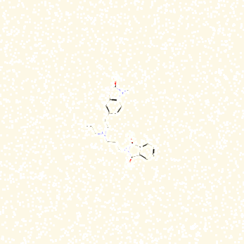 CCCN(CCCN1C(=O)c2ccccc2C1=O)CCc1ccc2c(c1)sc(=O)n2C